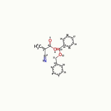 C=C(C#N)C(=O)O.c1ccc(COCc2ccccc2)cc1